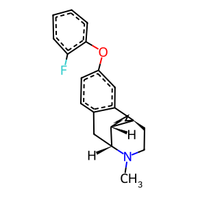 CN1CC[C@]23CCCC[C@H]2[C@H]1Cc1ccc(Oc2ccccc2F)cc13